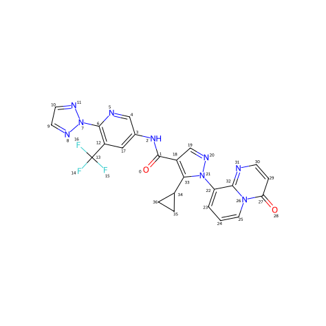 O=C(Nc1cnc(-n2nccn2)c(C(F)(F)F)c1)c1cnn(-c2cccn3c(=O)ccnc23)c1C1CC1